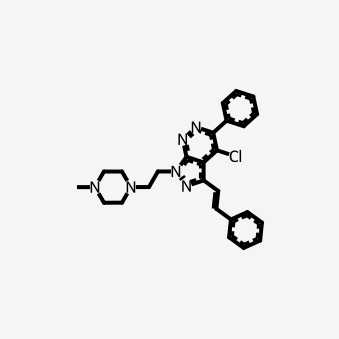 CN1CCN(CCn2nc(/C=C/c3ccccc3)c3c(Cl)c(-c4ccccc4)nnc32)CC1